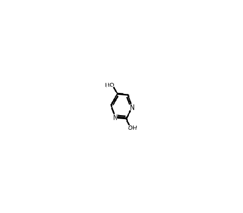 Oc1[c]nc(O)nc1